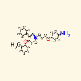 Cc1ccccc1O[C@@H]1CCN(CCCOc2ccc(N)cc2)C[C@@H]1c1ccccc1